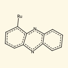 [Ru][c]1cccc2nc3ccccc3nc12